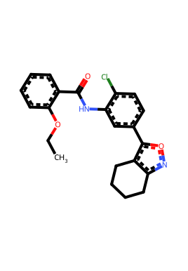 CCOc1ccccc1C(=O)Nc1cc(-c2onc3c2CCCC3)ccc1Cl